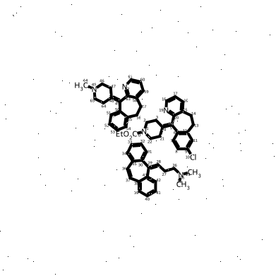 CCOC(=O)N1CCC(=C2c3ccc(Cl)cc3CCc3cccnc32)CC1.CN(C)CCC=C1c2ccccc2C=Cc2ccccc21.CN1CCC(=C2c3ccccc3CCc3cccnc32)CC1